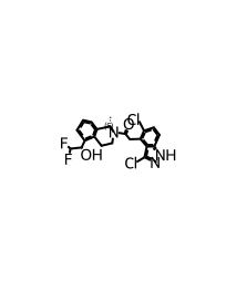 C[C@H]1c2cccc(C(O)C(F)F)c2CCN1C(=O)Cc1c(Cl)ccc2[nH]nc(Cl)c12